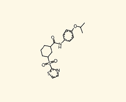 CC(C)Oc1ccc(NC(=O)C2CCCC(S(=O)(=O)c3nccs3)C2)cc1